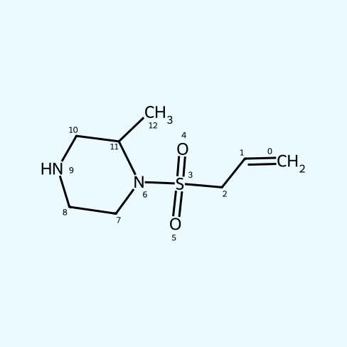 C=CCS(=O)(=O)N1CCNCC1C